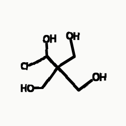 OCC(CO)(CO)C(O)Cl